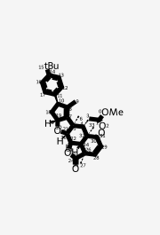 COC(=O)C[C@H]1[C@]2(C)C3=C(C)[C@H](c4ccc(C(C)(C)C)cc4)C[C@H]3O[C@@H]2[C@@H]2OC(=O)[C@]3(C)C=CC(=O)[C@@]1(C)[C@@H]23